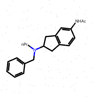 CCCN(Cc1ccccc1)C1Cc2ccc(NC(C)=O)cc2C1